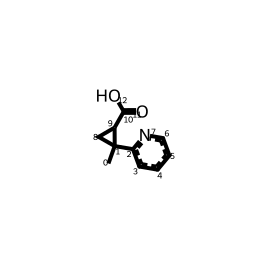 CC1(c2ccccn2)CC1C(=O)O